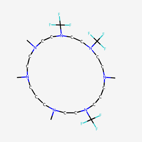 CN1CCCN(C)CCN(C(F)(F)F)CCCN(C)CCN(C(F)(F)F)CCN(C(F)(F)F)CCN(C)CC1